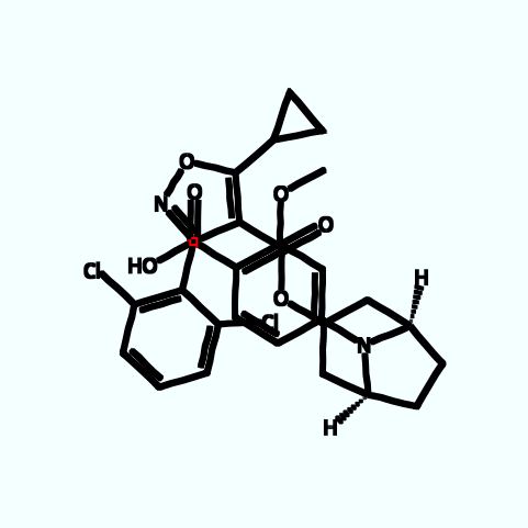 COc1cc(N2[C@@H]3CC[C@H]2CC(OC(=O)c2c(-c4c(Cl)cccc4Cl)noc2C2CC2)C3)ccc1C(=O)O